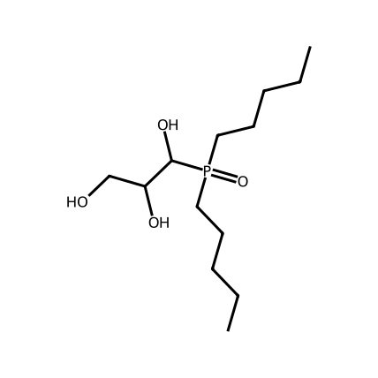 CCCCCP(=O)(CCCCC)C(O)C(O)CO